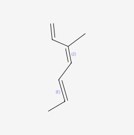 C=C/C(C)=C\C=C\C